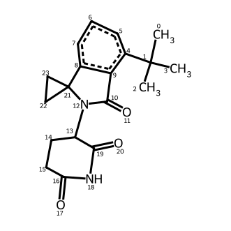 CC(C)(C)c1cccc2c1C(=O)N(C1CCC(=O)NC1=O)C21CC1